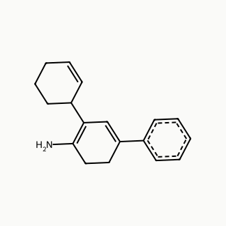 NC1=C(C2C=CCCC2)C=C(c2ccccc2)CC1